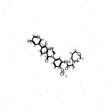 CC(C(=O)Nc1cc(-n2cnc3c(F)c(-c4cncc(F)c4)ccc3c2=O)ccc1OC(F)(F)F)N1CCCOCC1